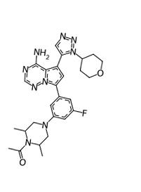 CC(=O)N1C(C)CN(c2cc(F)cc(-c3cc(-c4cnnn4C4CCOCC4)c4c(N)ncnn34)c2)CC1C